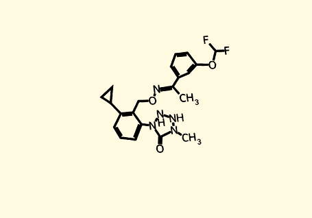 CC(=NOCc1c(C2CC2)cccc1N1NNN(C)C1=O)c1cccc(OC(F)F)c1